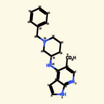 O=C(O)c1cnc2[nH]ccc2c1N[C@@H]1CCCN(Cc2ccccc2)C1